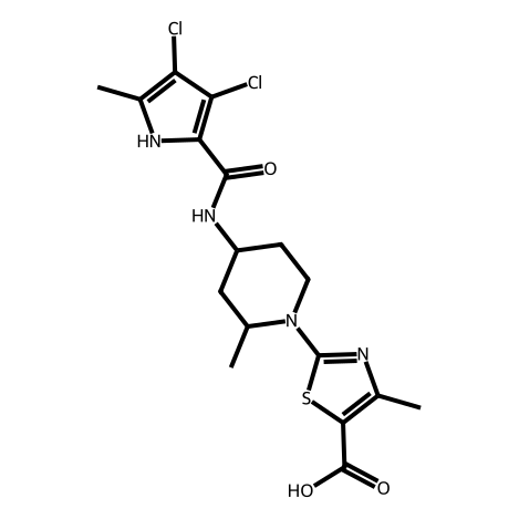 Cc1nc(N2CCC(NC(=O)c3[nH]c(C)c(Cl)c3Cl)CC2C)sc1C(=O)O